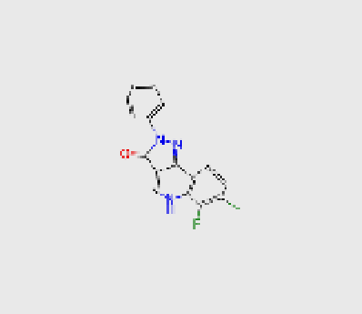 O=c1c2c[nH]c3c(F)c(F)ccc3c-2nn1-c1ccccc1